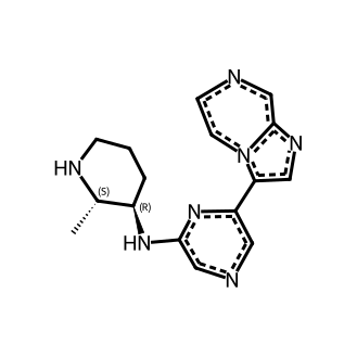 C[C@@H]1NCCC[C@H]1Nc1cncc(-c2cnc3cnccn23)n1